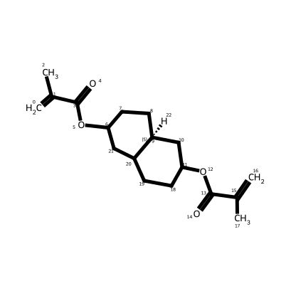 C=C(C)C(=O)OC1CC[C@H]2CC(OC(=O)C(=C)C)CCC2C1